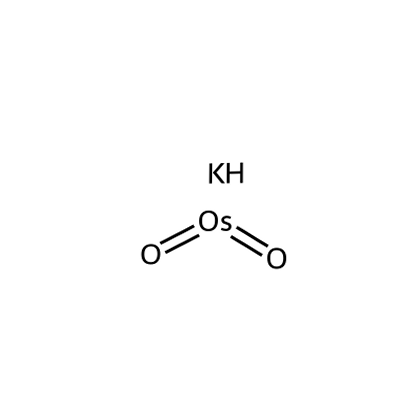 [KH].[O]=[Os]=[O]